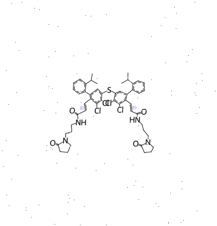 CC(C)c1ccccc1-c1cc(Sc2cc(-c3ccccc3C(C)C)c(/C=C/C(=O)NCCCN3CCCC3=O)c(Cl)c2Cl)c(Cl)c(Cl)c1/C=C/C(=O)NCCCN1CCCC1=O